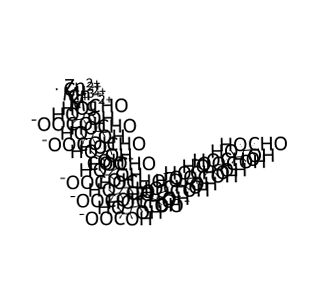 O=C[C@H](O)[C@@H](O)[C@@H](O)[C@H](O)C(=O)[O-].O=C[C@H](O)[C@@H](O)[C@@H](O)[C@H](O)C(=O)[O-].O=C[C@H](O)[C@@H](O)[C@@H](O)[C@H](O)C(=O)[O-].O=C[C@H](O)[C@@H](O)[C@@H](O)[C@H](O)C(=O)[O-].O=C[C@H](O)[C@@H](O)[C@@H](O)[C@H](O)C(=O)[O-].O=C[C@H](O)[C@@H](O)[C@@H](O)[C@H](O)C(=O)[O-].O=C[C@H](O)[C@@H](O)[C@@H](O)[C@H](O)C(=O)[O-].O=C[C@H](O)[C@@H](O)[C@@H](O)[C@H](O)C(=O)[O-].O=C[C@H](O)[C@@H](O)[C@@H](O)[C@H](O)C(=O)[O-].O=C[C@H](O)[C@@H](O)[C@@H](O)[C@H](O)C(=O)[O-].[Cr+3].[Cu+2].[K+].[Mg+2].[Mn+2].[Zn+2]